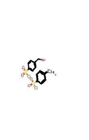 Cc1ccc(S(=O)(=O)Cl)cc1.O=S(=O)(Cl)c1ccc(CBr)cc1